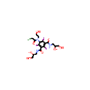 O=C(NCC(O)CO)c1c(I)c(C(=O)NCC(O)CO)c(I)c(N(CCO)C(=O)CCl)c1I